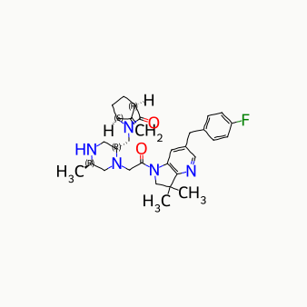 C=C1[C@H]2CC[C@@H]1N(C[C@H]1CN[C@H](C)CN1CC(=O)N1CC(C)(C)c3ncc(Cc4ccc(F)cc4)cc31)C2=O